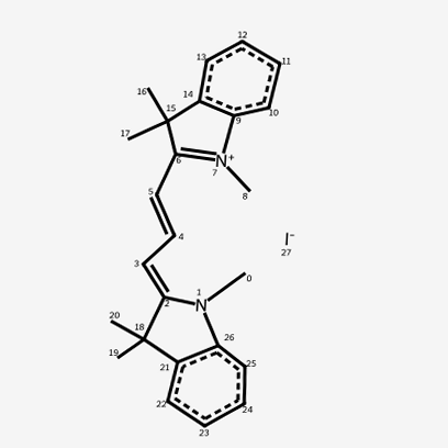 CN1C(=CC=CC2=[N+](C)c3ccccc3C2(C)C)C(C)(C)c2ccccc21.[I-]